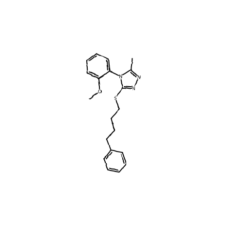 COc1ccccc1-n1c(C)nnc1SCCCCc1ccccc1